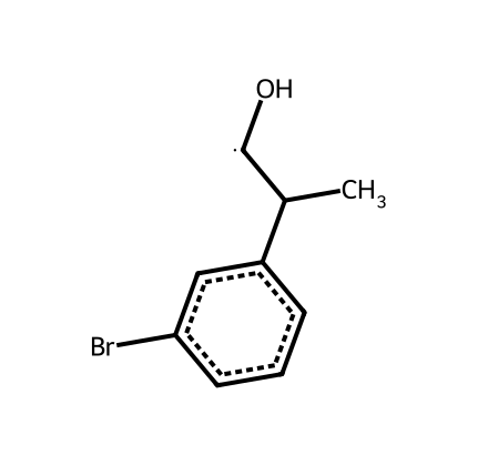 CC([CH]O)c1cccc(Br)c1